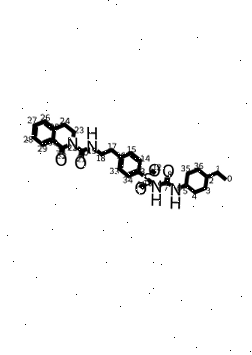 CCC1CCC(NC(=O)NS(=O)(=O)c2ccc(CCNC(=O)N3CCc4ccccc4C3=O)cc2)CC1